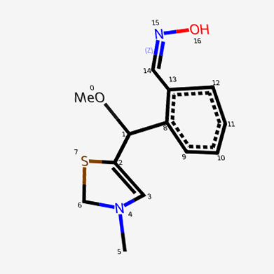 COC(C1=CN(C)CS1)c1ccccc1/C=N\O